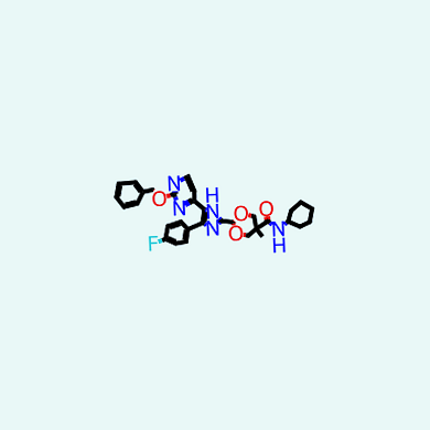 CC1(C(=O)NC2CCCCC2)COC(c2nc(-c3ccc(F)cc3)c(-c3ccnc(OCc4ccccc4)n3)[nH]2)OC1